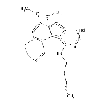 COCCCNc1nncc2c1=C1C3=C(C=C(OC)[N+]1(OC)C=2)CCC=C3.Cl